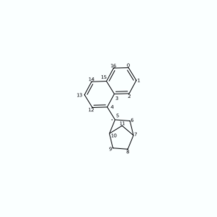 c1ccc2c([C]3CC4CCC3C4)cccc2c1